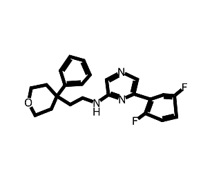 Fc1ccc(F)c(-c2cncc(NCCC3(c4ccccc4)CCOCC3)n2)c1